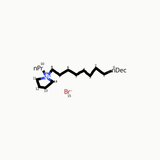 CCCCCCCCCCCCCCCCCC[N+]1(CCC)CCCC1.[Br-]